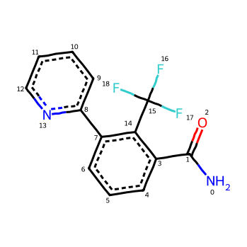 NC(=O)c1cccc(-c2ccccn2)c1C(F)(F)F